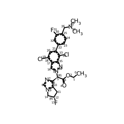 CCOC(=O)[C@@H](c1ncn2c1C[C@@H](F)C2)n1cc2c(Cl)cc(-c3ccc(CN(C)C)c(F)c3)c(Cl)c2n1